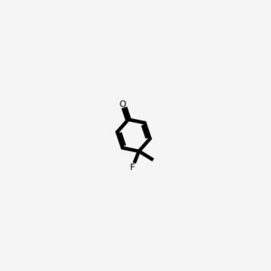 CC1(F)C=CC(=O)C=C1